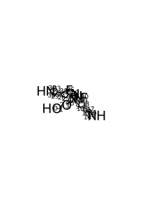 OCCOCCn1c(-c2ccc(C3=CCNCC3)cc2F)nnc1-c1ccc(C2=CCNCC2)cc1F